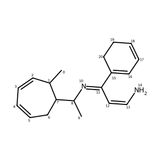 CC1C=CC=CCC1C(C)/N=C(\C=C/N)C1=CC=CCC1